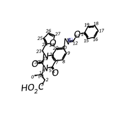 C[C@H](CC(=O)O)n1c(=O)c2ccc(/N=C/Oc3ccccc3)cc2n(Cc2ccco2)c1=O